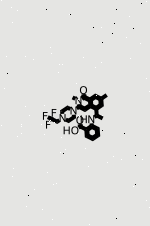 Cc1cc(C(C)Nc2ccccc2C(=O)O)c2cc(N3CCN(CC(F)(F)F)CC3)n(C)c(=O)c2c1